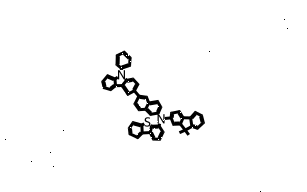 CC1(C)c2ccccc2-c2ccc(N(c3ccc4cc(-c5ccc6c(c5)c5ccccc5n6-c5ccccc5)ccc4c3)c3cccc4c3sc3ccccc34)cc21